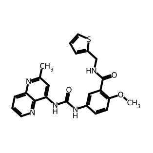 COc1ccc(NC(=O)Nc2cc(C)nc3cccnc23)cc1C(=O)NCc1cccs1